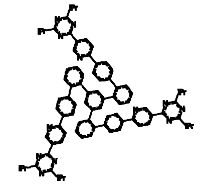 CC(C)c1nc(-c2ccc(-c3ccc(-c4ccccc4-c4cc(-c5ccccc5-c5ccc(-c6ccc(-c7nc(C(C)C)nc(C(C)C)n7)cn6)cc5)cc(-c5ccccc5-c5ccc(-c6ccc(-c7nc(C(C)C)nc(C(C)C)n7)cn6)cc5)c4)cc3)nc2)nc(C(C)C)n1